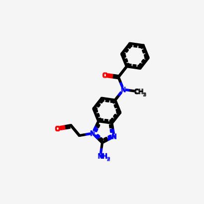 CN(C(=O)c1ccccc1)c1ccc2c(c1)nc(N)n2CC=O